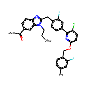 COCCn1c(Cc2ccc(-c3nc(OCc4ccc(C#N)cc4F)ccc3Cl)cc2F)nc2ccc(C(=O)OC)cc21